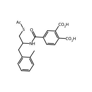 CC(=O)SCC(Cc1ccccc1C)NC(=O)c1ccc(C(=O)O)c(C(=O)O)c1